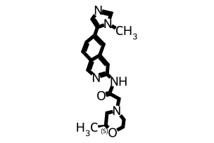 C[C@H]1CN(CC(=O)Nc2cc3cc(-c4cncn4C)ccc3cn2)CCO1